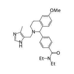 CCN(CC)C(=O)c1ccc(C2c3ccc(OC)cc3CCN2Cc2[nH]cnc2C)cc1